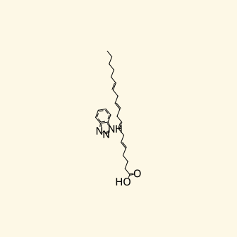 CCCCCC=CCC=CCC=CCC=CCCCC(=O)O.c1ccc2[nH]nnc2c1